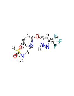 CCN(Cc1cccc(Oc2cc(C(F)(F)F)nn2C)n1)S(C)(=O)=O